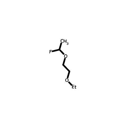 CCOCCOC(C)F